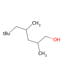 CC(CO)CC(C)CC(C)(C)C